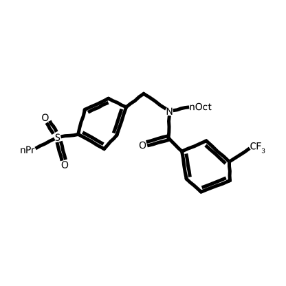 CCCCCCCCN(Cc1ccc(S(=O)(=O)CCC)cc1)C(=O)c1cccc(C(F)(F)F)c1